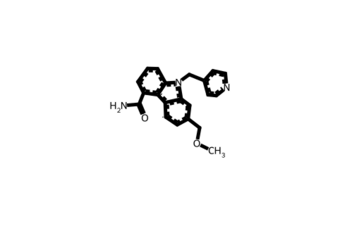 COCc1c[c]c2c3c(C(N)=O)cccc3n(Cc3ccncc3)c2c1